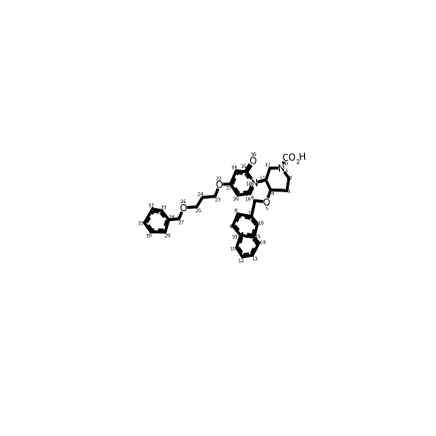 O=C(O)N1CCC(OCc2ccc3ccccc3c2)C(n2ccc(OCCCOCc3ccccc3)cc2=O)C1